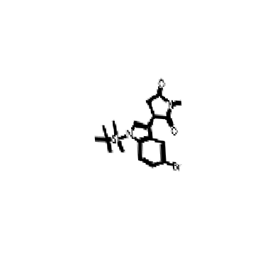 CN1C(=O)CC(c2cn([Si](C)(C)C(C)(C)C)c3ccc(Br)cc23)C1=O